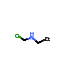 CCCNCCl